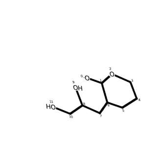 [O]C1OCCCC1CC(O)CO